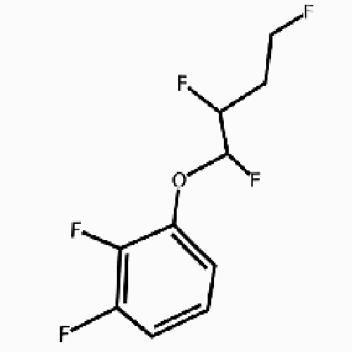 FCCC(F)C(F)Oc1cccc(F)c1F